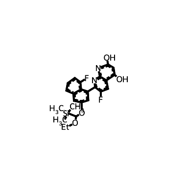 CCOC(Oc1cc(-c2nc3nc(O)cc(O)c3cc2F)c2c(F)cccc2c1)[Si](C)(C)C